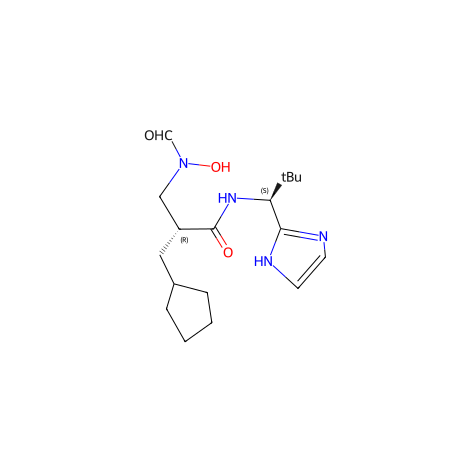 CC(C)(C)[C@H](NC(=O)[C@H](CC1CCCC1)CN(O)C=O)c1ncc[nH]1